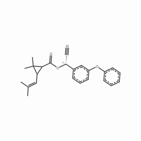 CC(C)=CC1C(C(=O)O[C@H](C#N)c2cccc(Oc3ccccc3)c2)C1(C)C